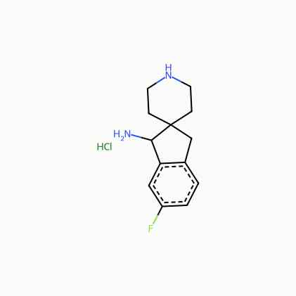 Cl.NC1c2cc(F)ccc2CC12CCNCC2